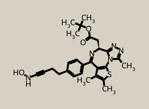 Cc1sc2c(c1C)C(c1ccc(CCC#CNO)cc1)=N[C@@H](CC(=O)OC(C)(C)C)c1nnc(C)n1-2